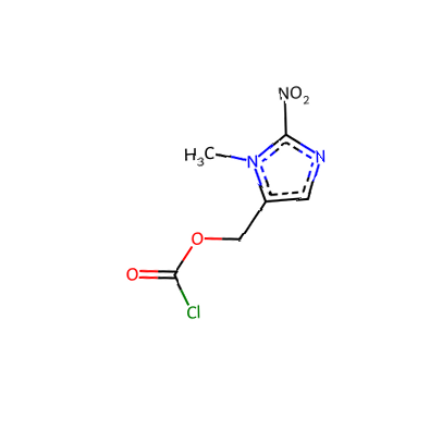 Cn1c(COC(=O)Cl)cnc1[N+](=O)[O-]